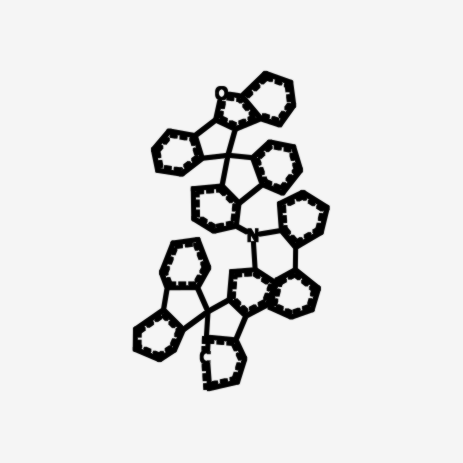 c1ccc(-c2ccccc2N(c2ccc3c(c2)C2(c4ccccc4-c4ccccc42)c2ccccc2-3)c2cccc3c2-c2ccccc2C32c3ccccc3-c3oc4ccccc4c32)cc1